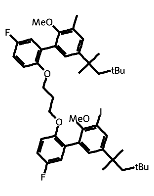 COc1c(C)cc(C(C)(C)CC(C)(C)C)cc1-c1cc(F)ccc1OCCCOc1ccc(F)cc1-c1cc(C(C)(C)CC(C)(C)C)cc(I)c1OC